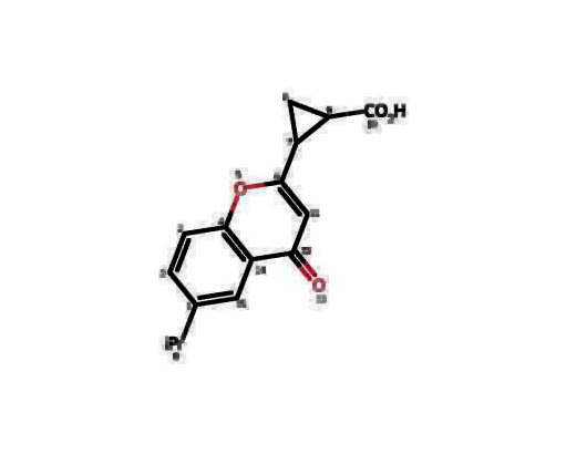 CC(C)c1ccc2oc(C3CC3C(=O)O)cc(=O)c2c1